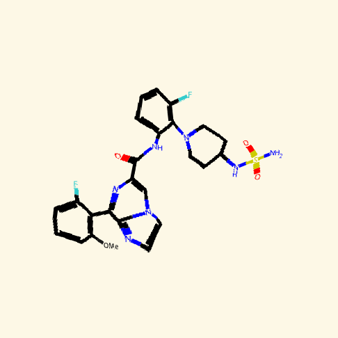 COc1cccc(F)c1-c1nc(C(=O)Nc2cccc(F)c2N2CCC(NS(N)(=O)=O)CC2)cn2ccnc12